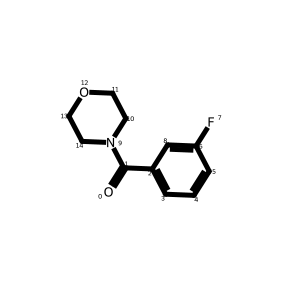 O=C(c1cc[c]c(F)c1)N1CCOCC1